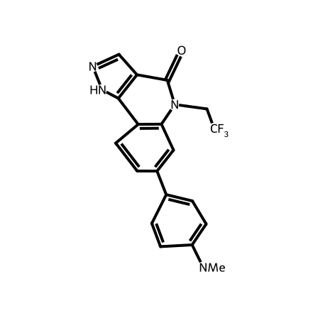 CNc1ccc(-c2ccc3c4[nH]ncc4c(=O)n(CC(F)(F)F)c3c2)cc1